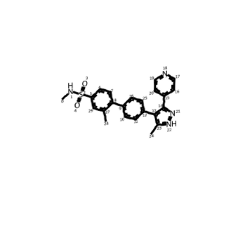 CNS(=O)(=O)c1ccc(-c2ccc(-c3c(-c4ccncc4)n[nH]c3C)cc2)c(C)c1